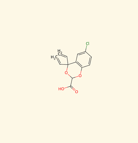 C=CC1(C=C)OC(C(=O)O)Oc2ccc(Cl)cc21